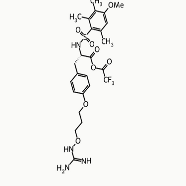 COc1cc(C)c(S(=O)(=O)N[C@@H](Cc2ccc(OCCCONC(=N)N)cc2)C(=O)OC(=O)C(F)(F)F)c(C)c1C